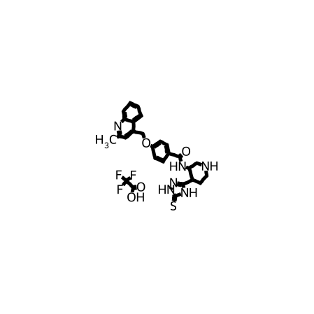 Cc1cc(COc2ccc(C(=O)NC3CNCCC3c3n[nH]c(=S)[nH]3)cc2)c2ccccc2n1.O=C(O)C(F)(F)F